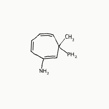 CC1(P)C=CC=CC(N)=C1